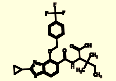 CCC(C)(C)C(NC(=O)c1ccc2sc(C3CC3)nc2c1OCc1ccc(C(F)(F)F)cc1)C(=O)O